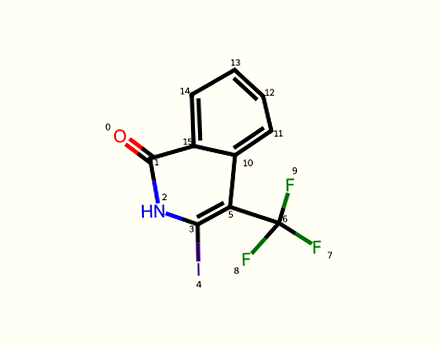 O=c1[nH]c(I)c(C(F)(F)F)c2ccccc12